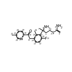 C=C(N)SCCC(C)(N)c1c(F)ccc(CC(=O)c2ccc(C)cn2)c1C